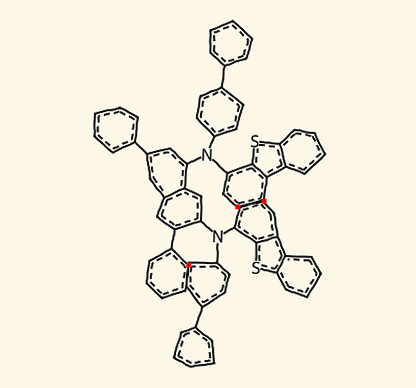 c1ccc(-c2ccc(N(c3cc4c(N(c5ccc(-c6ccccc6)cc5)c5cccc6c5sc5ccccc56)cc(-c5ccccc5)cc4cc3-c3ccccc3)c3cccc4c3sc3ccccc34)cc2)cc1